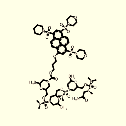 BC1CN(C(=O)OCCCOc2cc(S(=O)(=O)N3CCOCC3)c3ccc4c(S(=O)(=O)N5CCOCC5)cc(S(=O)(=O)N5CCCCC5)c5ccc2c3c54)CC(COP(=O)(N(C)C)N2CC(B)OC(COP(=O)(N(C)C)N3CC(B)OC(COP(=O)(N(C)C)N(C)CC(N)=O)C3)C2)O1